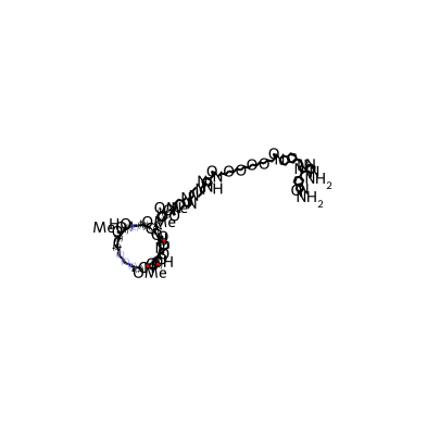 CO[C@H]1C[C@@H]2CC[C@@H](C)[C@@](O)(O2)C(=O)C(=O)N2CCCC[C@H]2C(=O)O[C@H]([C@H](C)C[C@@H]2CC[C@@H](OC(=O)N3CCc4nc(N5CCN(c6ncc(C(=O)NCCOCCOCCOCCOCCC(=O)N7CCc8cc(Cn9nc(-c%10ccc%11oc(N)nc%11c%10)c%10c(N)ncnc%109)ccc8C7)cn6)CC5)ncc4C3)[C@H](OC)C2)C[C@@H](OC)[C@H](C)/C=C(\C)[C@@H](O)[C@@H](OC)C(=O)[C@H](C)C[C@H](C)/C=C/C=C/C=C/1C